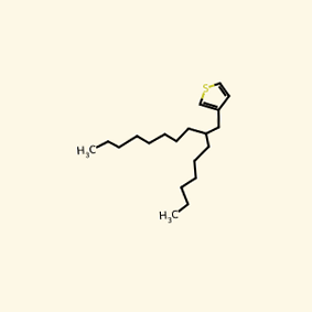 CCCCCCCCC(CCCCCC)Cc1ccsc1